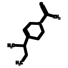 CCC(C)C1=CCN(C(C)=O)CC1